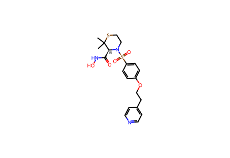 CC1(C)SCCN(S(=O)(=O)c2ccc(OCCc3ccncc3)cc2)[C@H]1C(=O)NO